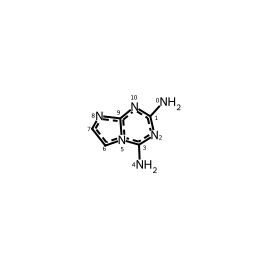 Nc1nc(N)n2ccnc2n1